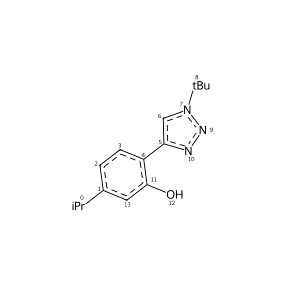 CC(C)c1ccc(-c2cn(C(C)(C)C)nn2)c(O)c1